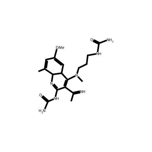 COC1=CC2C(N(C)CCCNC(N)=O)=C(C(C)=N)C(NC(N)=O)=NC2C(C)=C1